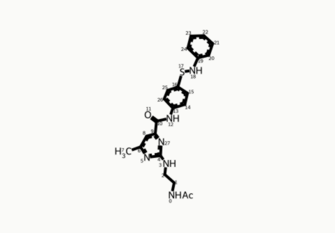 CC(=O)NCCNc1nc(C)cc(C(=O)Nc2ccc(SNc3ccccc3)cc2)n1